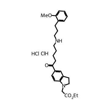 CCOC(=O)CN1CCc2cc(C(=O)CCCCNCCCc3ccccc3OC)ccc21.Cl.Cl